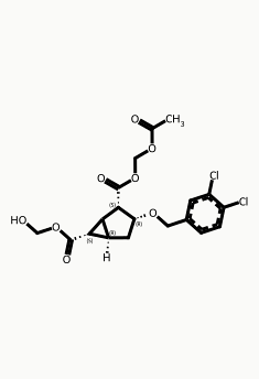 CC(=O)OCOC(=O)[C@H]1C2[C@@H](C[C@H]1OCc1ccc(Cl)c(Cl)c1)[C@@H]2C(=O)OCO